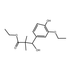 CCOC(=O)C(C)(C)C(O)c1ccc(O)c(OCC)c1